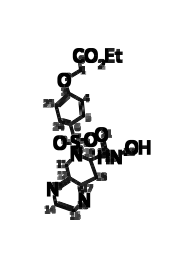 CCOC(=O)COc1ccc(S(=O)(=O)N2Cc3nccnc3CC2C(=O)NO)cc1